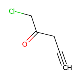 C#CCC(=O)CCl